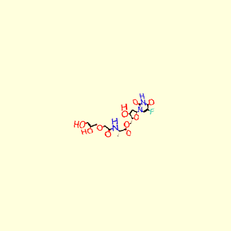 C[C@H](NC(=O)COCC(O)CO)C(=O)OC[C@H]1O[C@@H](n2cc(F)c(=O)[nH]c2=O)C[C@@H]1O